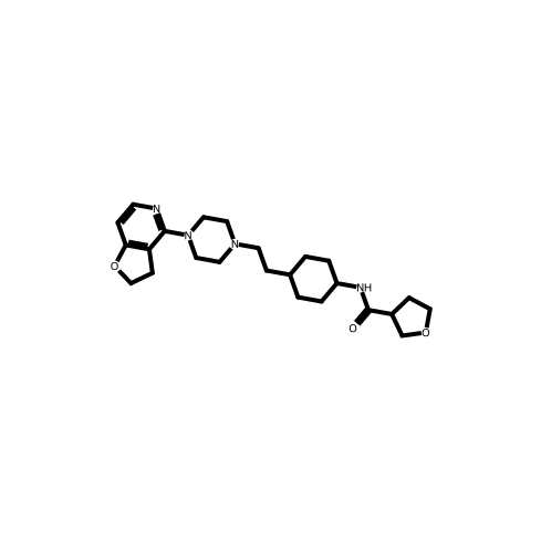 O=C(NC1CCC(CCN2CCN(c3nccc4c3CCO4)CC2)CC1)C1CCOC1